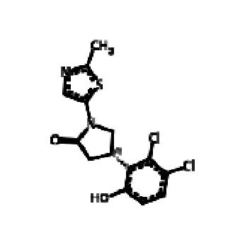 Cc1ncc(N2C[C@H](c3c(O)ccc(Cl)c3Cl)CC2=O)s1